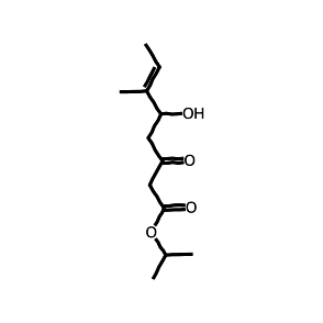 C/C=C(\C)C(O)CC(=O)CC(=O)OC(C)C